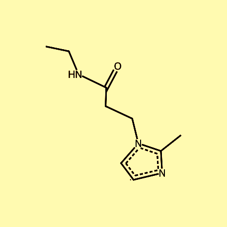 CCNC(=O)CCn1c[c]nc1C